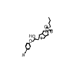 CCCCS(=O)(=O)N1CC2CN(C[C@@H](O)COc3ccc(C#N)cc3)CC2C1